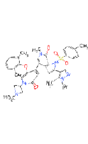 Cc1ccc(S(=O)(=O)n2c(-c3cnn(C(C)C)c3C)cc3c(-c4cc(=O)n(C5CN(C(=O)O)C5)cc4Oc4c(C)cccc4C)cn(C)c(=O)c32)cc1